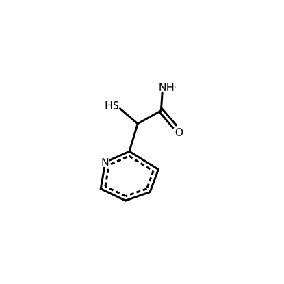 [NH]C(=O)C(S)c1ccccn1